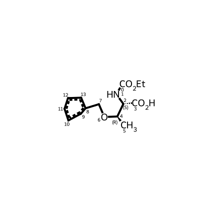 CCOC(=O)N[C@H](C(=O)O)[C@@H](C)OCc1ccccc1